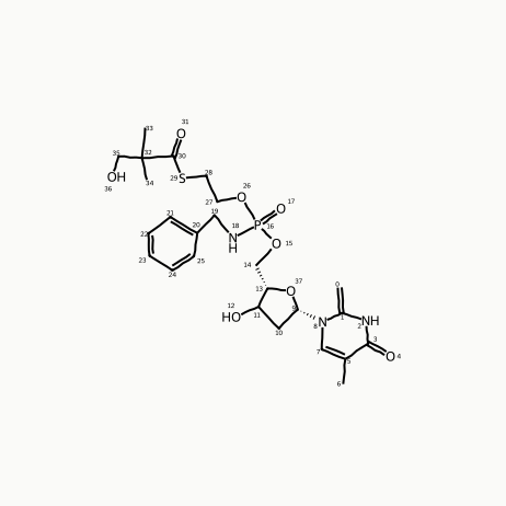 C=C1NC(=O)C(C)=CN1[C@@H]1CC(O)[C@H](COP(=O)(NCc2ccccc2)OCCSC(=O)C(C)(C)CO)O1